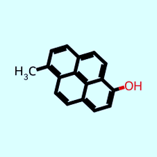 Cc1ccc2ccc3c(O)ccc4ccc1c2c43